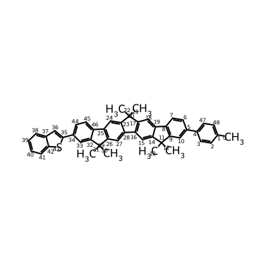 Cc1ccc(-c2ccc3c(c2)C(C)(C)c2cc4c(cc2-3)C(C)(C)c2cc3c(cc2-4)C(C)(C)c2cc(-c4cc5ccccc5s4)ccc2-3)cc1